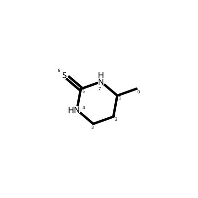 CC1CCNC(=S)N1